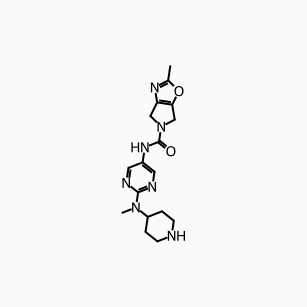 Cc1nc2c(o1)CN(C(=O)Nc1cnc(N(C)C3CCNCC3)nc1)C2